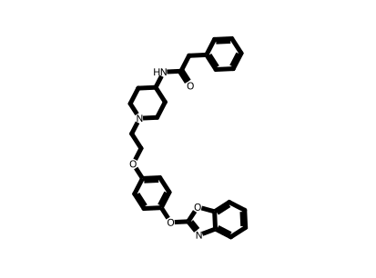 O=C(Cc1ccccc1)NC1CCN(CCOc2ccc(Oc3nc4ccccc4o3)cc2)CC1